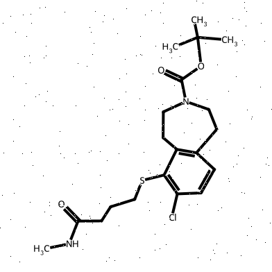 CNC(=O)CCCSc1c(Cl)ccc2c1CCN(C(=O)OC(C)(C)C)CC2